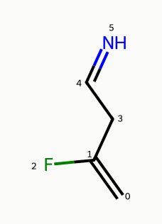 C=C(F)CC=N